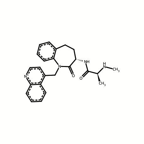 CN[C@@H](C)C(=O)N[C@H]1CCc2ccccc2N(Cc2ccnc3ccccc23)C1=O